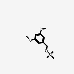 COc1cc(CO[Si](C)(C)C)cc(OC)c1